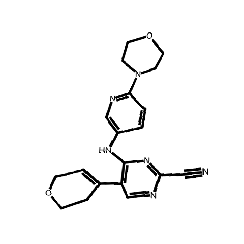 N#Cc1ncc(C2=CCOCC2)c(Nc2ccc(N3CCOCC3)nc2)n1